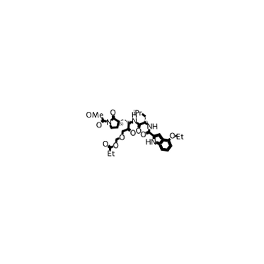 CCOc1cccc2[nH]c(C(=O)N[C@@H](CC(C)C)C(=O)N[C@@H](C[C@@H]3CCN(C(=O)OC)C3=O)C(=O)COCOC(=O)CC)cc12